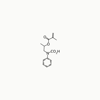 C=C(C)C(=O)OC(C)CN(C(=O)O)c1ccccc1